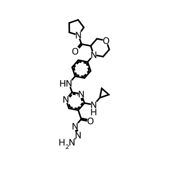 NN=NC(=O)c1cnc(Nc2ccc(N3CCOCC3C(=O)N3CCCC3)cc2)nc1NC1CC1